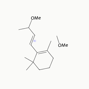 COC.COC(C)/C=C/C1=C(C)CCCC1(C)C